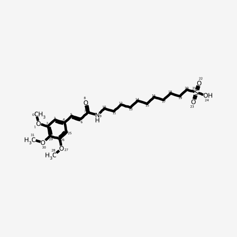 COc1cc(C=CC(=O)NCCCCCCCCCCCS(=O)(=O)O)cc(OC)c1OC